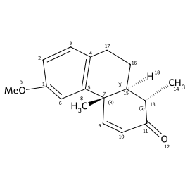 COc1ccc2c(c1)[C@@]1(C)C=CC(=O)[C@@H](C)[C@@H]1CC2